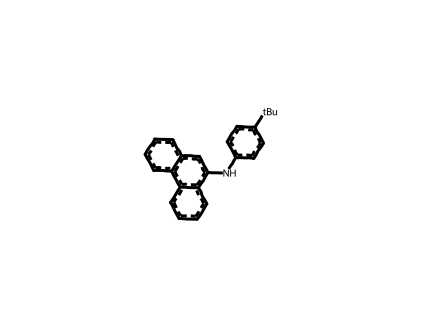 CC(C)(C)c1ccc(Nc2cc3ccccc3c3ccccc23)cc1